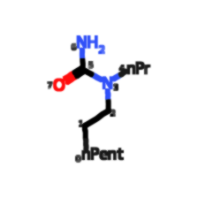 CCCCCCCN(CCC)C(N)=O